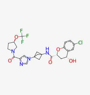 O=C(NC12CC(n3cnc(C(=O)N4CC[C@@H](OC(F)(F)F)C4)c3)(C1)C2)[C@H]1C[C@@H](O)c2cc(Cl)ccc2O1